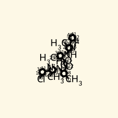 Cc1ccc(Nc2cnc(-c3cccc(Cl)c3)c(C)c2)c(C(=O)OC(=O)c2cc(C)ccc2Nc2cnc(-c3ccccc3F)c(C)c2)c1